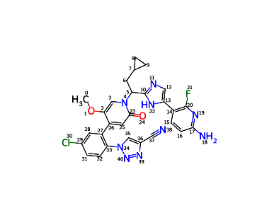 COc1cn(C(CC2CC2)c2ncc(-c3ccc(N)nc3F)[nH]2)c(=O)cc1-c1cc(Cl)ccc1-n1cc(C#N)nn1